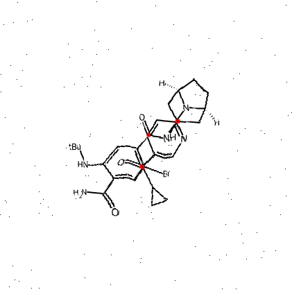 CC(C)(C)Nc1cc(C(=O)N[C@H]2C[C@H]3CC[C@@H](C2)N3c2ccc(C(=O)C3CC3)cn2)c(Br)cc1C(N)=O